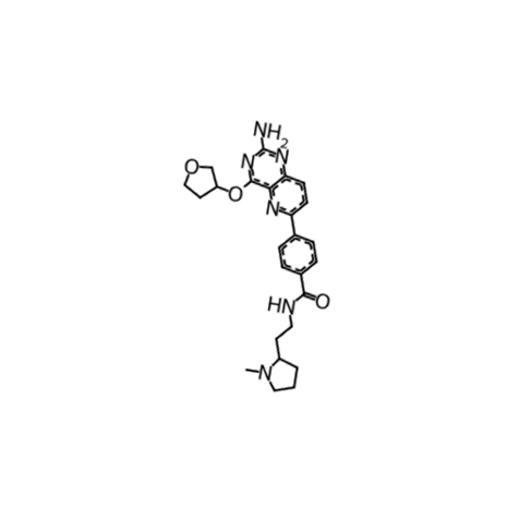 CN1CCCC1CCNC(=O)c1ccc(-c2ccc3nc(N)nc(OC4CCOC4)c3n2)cc1